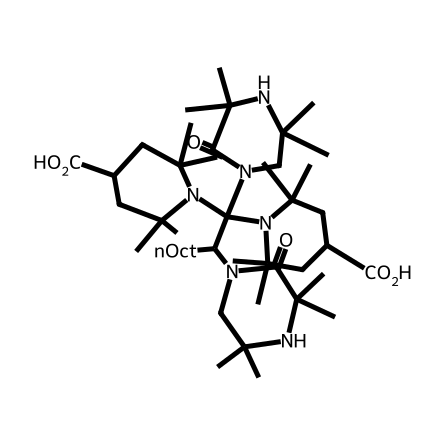 CCCCCCCCC(N1CC(C)(C)NC(C)(C)C1=O)C(N1CC(C)(C)NC(C)(C)C1=O)(N1C(C)(C)CC(C(=O)O)CC1(C)C)N1C(C)(C)CC(C(=O)O)CC1(C)C